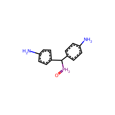 Nc1ccc(C([PH2]=O)c2ccc(N)cc2)cc1